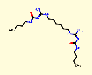 CSCCCNC(=O)N=C(N)NCCCCCCNC(N)=NC(=O)NCCCSC